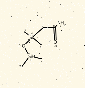 C[SiH](C)O[Si](C)(C)CC(N)=O